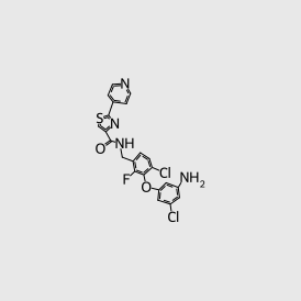 Nc1cc(Cl)cc(Oc2c(Cl)ccc(CNC(=O)c3csc(-c4ccncc4)n3)c2F)c1